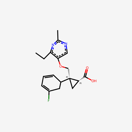 CCc1nc(C)ncc1OC[C@@]1(C2C=CC=C(F)C2)C[C@H]1C(=O)O